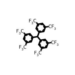 FC(F)(F)c1cc(C(c2cc(C(F)(F)F)cc(C(F)(F)F)c2)c2cc(C(F)(F)F)cc(C(F)(F)F)c2)cc(C(F)(F)F)c1